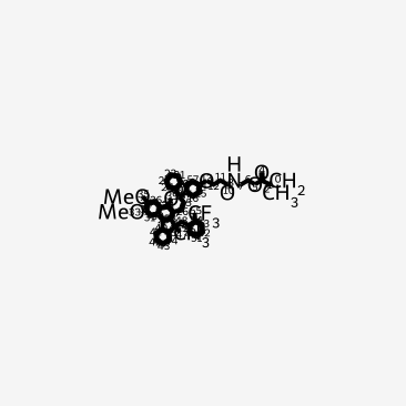 C=C(C)C(=O)OCCNC(=O)CCOc1ccc(C2(c3ccccc3)C=Cc3c4c(c5cc(OC)c(OC)cc5c3O2)-c2ccccc2C4(C)Cc2ccccc2C(F)(F)F)cc1